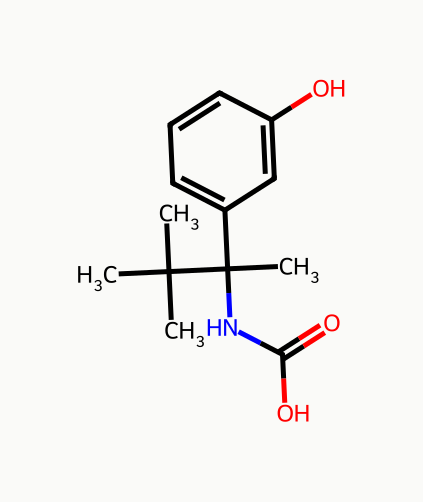 CC(C)(C)C(C)(NC(=O)O)c1cccc(O)c1